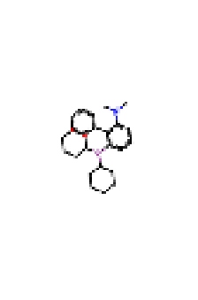 CN(C)c1cccc(P(C2CCCCC2)C2CCCCC2)c1-c1ccccc1